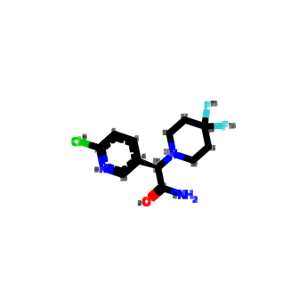 NC(=O)[C@@H](c1ccc(Cl)nc1)N1CCC(F)(F)CC1